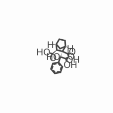 O=C(O)[C@H]1[C@H]2CC[C@H](C2)[C@]1(C(=O)O)C(O)(C(=O)O)c1ccccc1